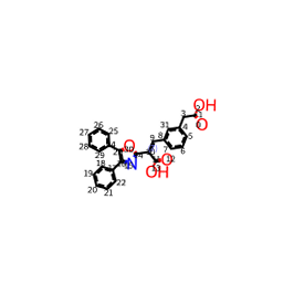 O=C(O)Cc1cccc(/C=C(\C(=O)O)c2nc(-c3ccccc3)c(-c3ccccc3)o2)c1